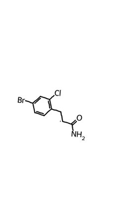 NC(=O)[CH]Cc1ccc(Br)cc1Cl